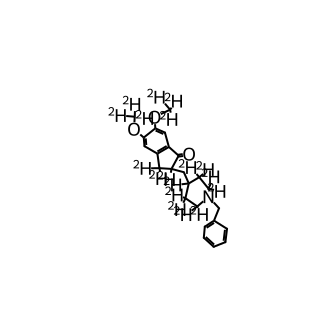 [2H]C([2H])([2H])Oc1cc2c(cc1OC([2H])([2H])[2H])C([2H])([2H])C([2H])(CC1([2H])C([2H])([2H])C([2H])([2H])N(Cc3ccccc3)C([2H])([2H])C1([2H])[2H])C2=O